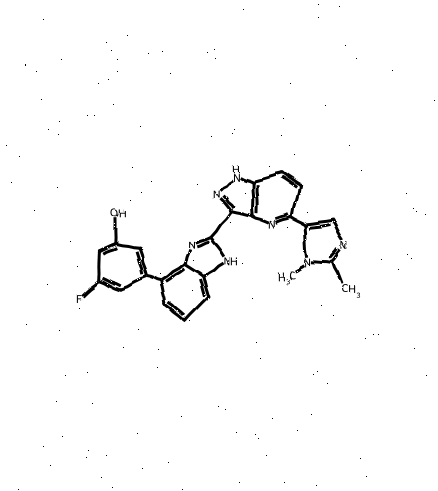 Cc1ncc(-c2ccc3[nH]nc(-c4nc5c(-c6cc(O)cc(F)c6)cccc5[nH]4)c3n2)n1C